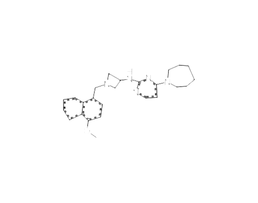 COc1ccc(CN2CC(Nc3nccc(N4CCCCCC4)n3)C2)c2ccccc12